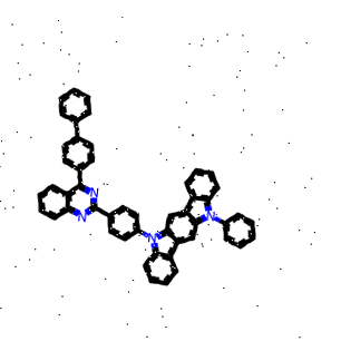 c1ccc(-c2ccc(-c3nc(-c4ccc(-n5c6ccccc6c6cc7c(cc65)c5ccccc5n7-c5ccccc5)cc4)nc4ccccc34)cc2)cc1